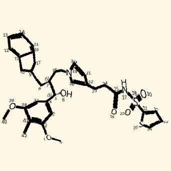 COc1cc([C@@H](O)[C@@H](CC2Cc3ccccc3C2)Cn2ccc(CCC(=O)NS(=O)(=O)c3cccs3)c2)cc(OC)c1C